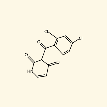 O=C1C=CNC(=O)C1C(=O)c1ccc(Cl)cc1Cl